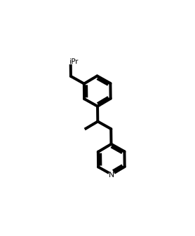 CC(C)Cc1cccc(C(C)Cc2ccncc2)c1